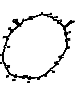 O=C1CCCCCCC(=O)OCCCCCCCCCCCCCCCCO1